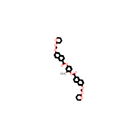 O=Cc1cc(OC(=O)c2ccc3cc(OCOC4CCCCO4)ccc3c2)ccc1OC(=O)c1ccc2cc(OCOC3CCCCO3)ccc2c1